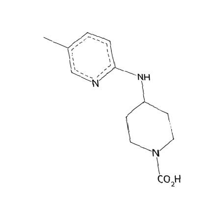 Cc1ccc(NC2CCN(C(=O)O)CC2)nc1